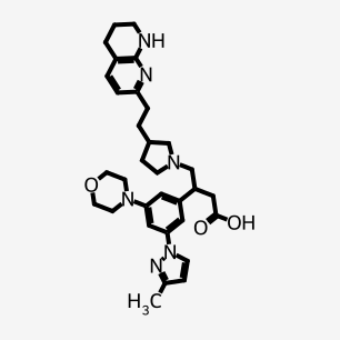 Cc1ccn(-c2cc(C(CC(=O)O)CN3CCC(CCc4ccc5c(n4)NCCC5)C3)cc(N3CCOCC3)c2)n1